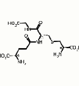 N[C@@H](CCC(=O)N[C@@H](CSC[C@H](N)C(=O)O)C(=O)NCC(=O)O)C(=O)O